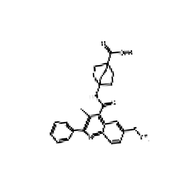 COC(=O)C12CCC(NC(=O)c3c(C)c(-c4ccccc4)nc4ccc(SC(F)(F)F)cc34)(CC1)CC2